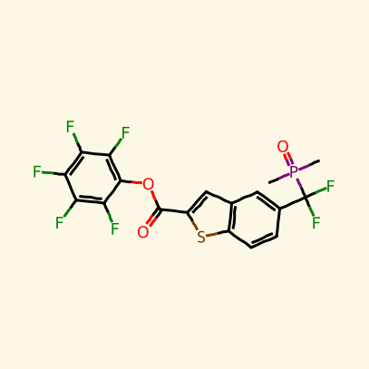 CP(C)(=O)C(F)(F)c1ccc2sc(C(=O)Oc3c(F)c(F)c(F)c(F)c3F)cc2c1